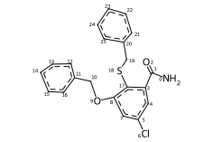 NC(=O)c1cc(Cl)cc(OCc2ccccc2)c1SCc1ccccc1